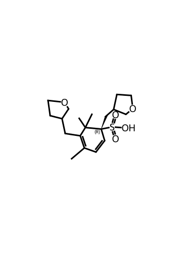 CC1=C(CC2CCOC2)C(C)(C)[C@](CC2CCOC2)(S(=O)(=O)O)C=C1